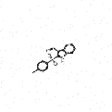 Cc1ccc(S(=O)(=O)c2[nH]c3ccccc3c2C=O)cc1